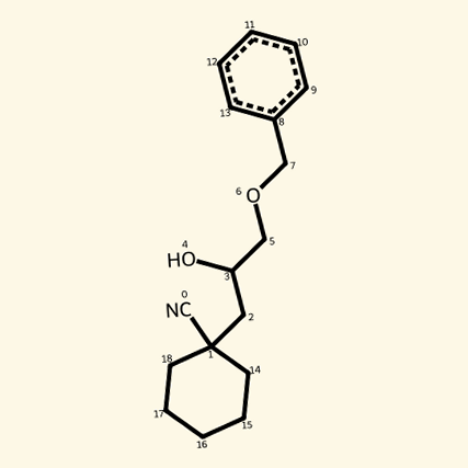 N#CC1(CC(O)COCc2ccccc2)CCCCC1